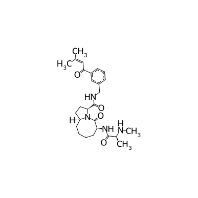 CN[C@@H](C)C(=O)N[C@H]1CCCC[C@H]2CC[C@@H](C(=O)NCc3cccc(C(=O)C=C(C)C)c3)N2C1=O